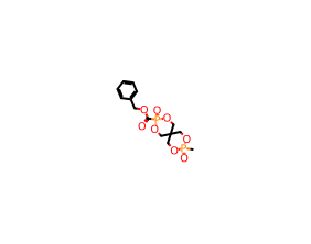 CP1(=O)OCC2(CO1)COP(=O)(C(=O)OCc1ccccc1)OC2